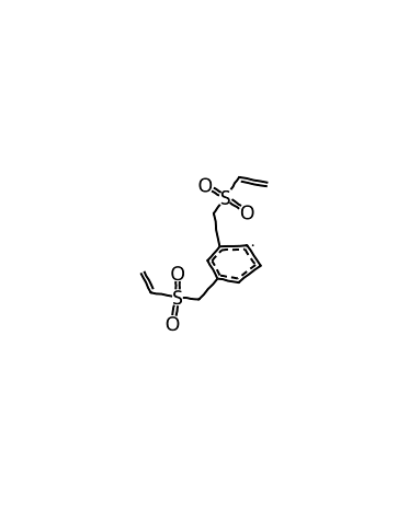 C=CS(=O)(=O)Cc1[c]ccc(CS(=O)(=O)C=C)c1